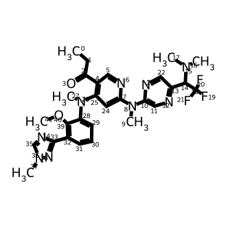 CCC(=O)c1cnc(N(C)c2cnc(C(N(C)C)C(F)(F)F)cn2)cc1N(C)c1cccc(-c2ncn(C)n2)c1OC